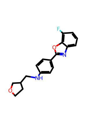 Fc1cccc2nc(-c3ccc(NCC4CCOC4)cc3)oc12